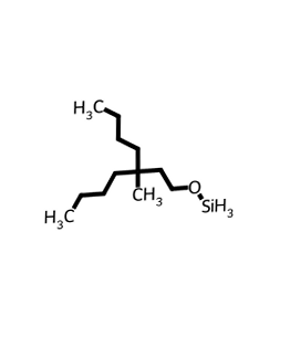 CCCCC(C)(CCCC)CCO[SiH3]